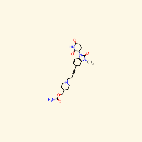 Cn1c(=O)n(C2CCC(=O)NC2=O)c2ccc(C#CCCN3CCC(COC(N)=O)CC3)cc21